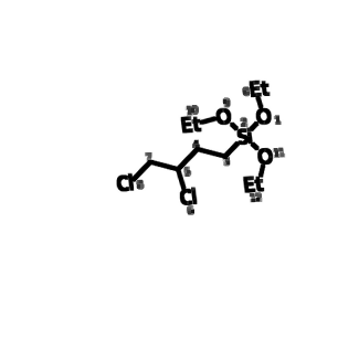 CCO[Si](CCC(Cl)CCl)(OCC)OCC